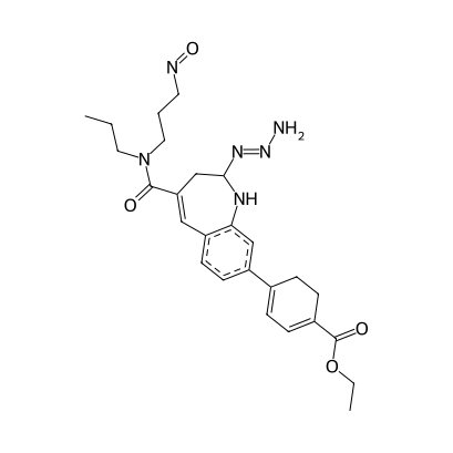 CCCN(CCCN=O)C(=O)C1=Cc2ccc(C3=CC=C(C(=O)OCC)CC3)cc2NC(N=NN)C1